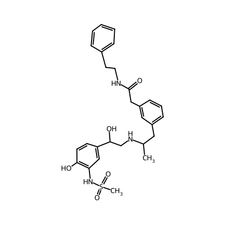 CC(Cc1cccc(CC(=O)NCCc2ccccc2)c1)NCC(O)c1ccc(O)c(NS(C)(=O)=O)c1